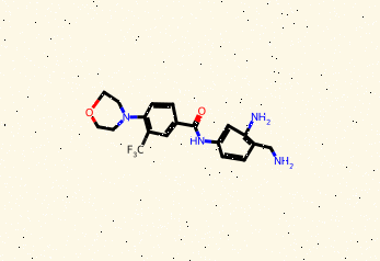 NCc1ccc(NC(=O)c2ccc(N3CCOCC3)c(C(F)(F)F)c2)cc1N